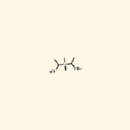 CCCCC(C)[Si](C)(C)C(C)CCCC